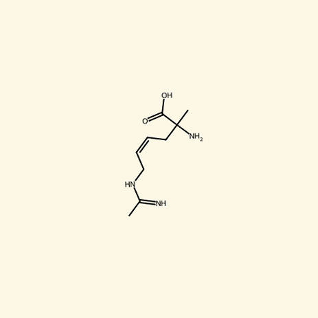 CC(=N)NC/C=C\CC(C)(N)C(=O)O